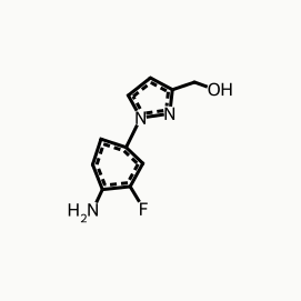 Nc1ccc(-n2ccc(CO)n2)cc1F